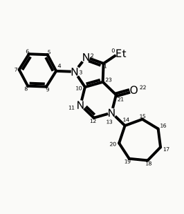 CCc1nn(-c2ccccc2)c2ncn(C3CCCCCC3)c(=O)c12